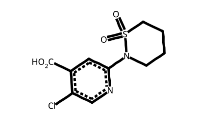 O=C(O)c1cc(N2CCCCS2(=O)=O)ncc1Cl